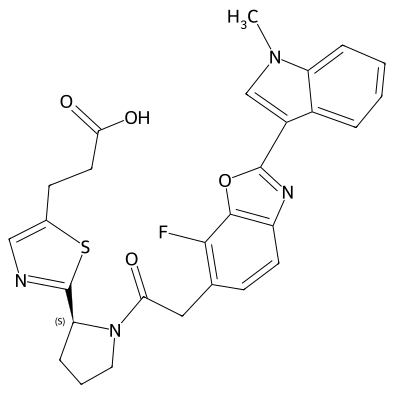 Cn1cc(-c2nc3ccc(CC(=O)N4CCC[C@H]4c4ncc(CCC(=O)O)s4)c(F)c3o2)c2ccccc21